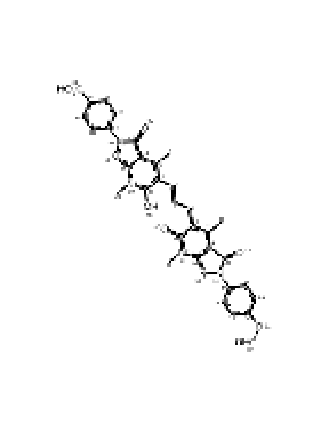 Cc1c(C=C/C=c2/c(C)c3c(n(C)c2=O)=NN(c2ccc(OC=O)cc2)C3=O)c(O)n(C)c2nn(-c3ccc(C(=O)O)cc3)c(=O)c1-2